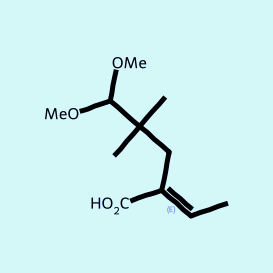 C/C=C(\CC(C)(C)C(OC)OC)C(=O)O